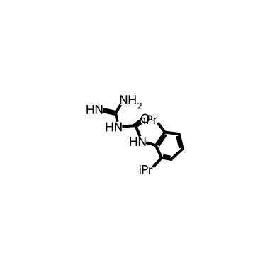 CCCc1cccc(C(C)C)c1NC(=O)NC(=N)N